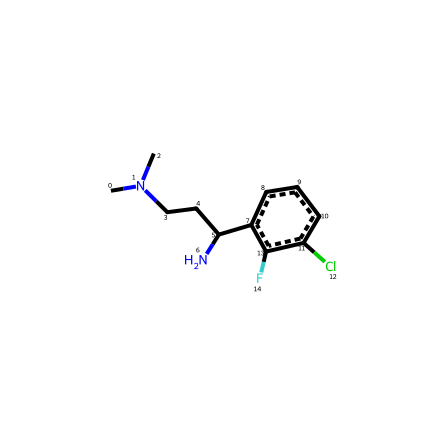 CN(C)CCC(N)c1cccc(Cl)c1F